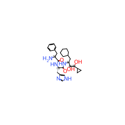 N[C@@H](Cc1ccccc1)C(=O)N[C@@H](Cc1c[nH]cn1)C(=O)N[C@@H](CC1CCCCC1)[C@@H](O)[C@@H](O)C1CC1